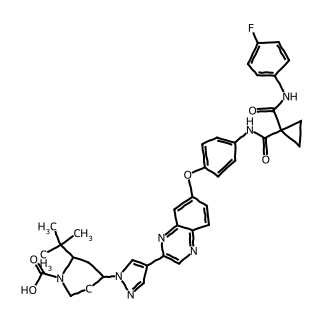 CC(C)(C)C1CC(n2cc(-c3cnc4ccc(Oc5ccc(NC(=O)C6(C(=O)Nc7ccc(F)cc7)CC6)cc5)cc4n3)cn2)CCN1C(=O)O